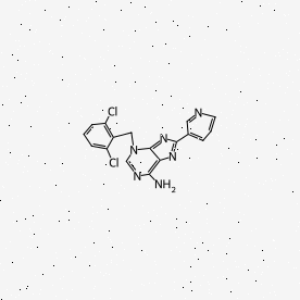 Nc1ncn(Cc2c(Cl)cccc2Cl)c2nc(-c3cccnc3)nc1-2